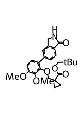 COc1ccc(-c2ccc3c(c2)CNC3=O)c(OCC2(C(=O)OCC(C)(C)C)CC2)c1OC